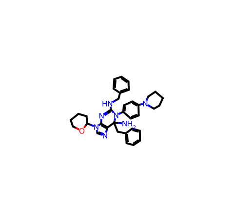 NC1(Cc2ccccc2)c2ncn(C3CCCCO3)c2N=C(NCc2ccccc2)N1c1ccc(N2CCCCC2)cc1